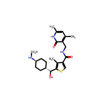 Cc1cc(C)c(CNC(=O)c2csc(C(O)[C@H]3CC[C@H](NC(=O)O)CC3)c2C)c(=O)[nH]1